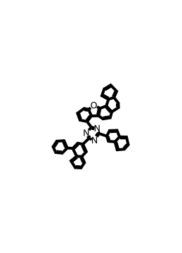 c1ccc(-c2cc(-c3nc(-c4ccc5ccccc5c4)nc(-c4cccc5oc6c(ccc7ccc8ccccc8c76)c45)n3)cc3ccccc23)cc1